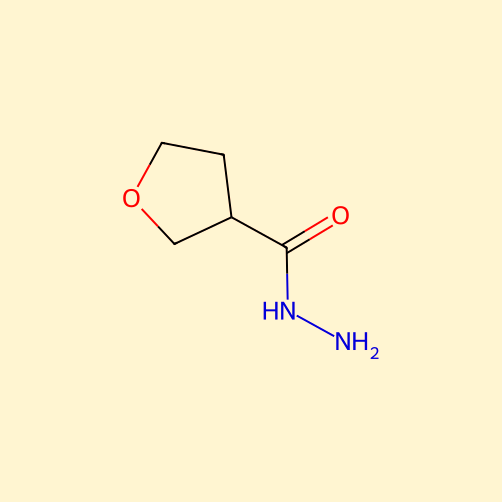 NNC(=O)C1CCOC1